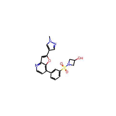 Cn1cc(-c2cc3nccc(-c4cccc(S(=O)(=O)N5CC(O)C5)c4)c3o2)cn1